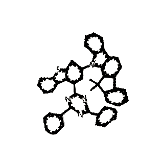 CC1(C)c2ccccc2-c2ccc3c4ccccc4n(-c4cc(-c5nc(-c6ccccc6)nc(-c6ccccc6)n5)c5c(c4)sc4ccccc45)c3c21